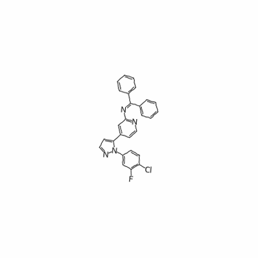 Fc1cc(-n2nccc2-c2ccnc(N=C(c3ccccc3)c3ccccc3)c2)ccc1Cl